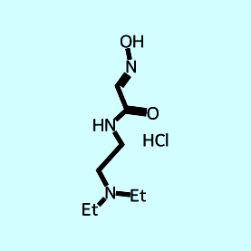 CCN(CC)CCNC(=O)C=NO.Cl